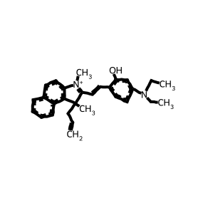 C=CCC1(C)C(/C=C/c2ccc(N(CC)CC)cc2O)=[N+](C)c2ccc3ccccc3c21